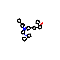 c1ccc(-c2ccc(N(c3ccc(-c4ccc(-c5cccc6oc7ccccc7c56)cc4)cc3)c3cccc(-n4c5ccccc5c5ccccc54)c3)cc2)cc1